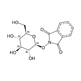 O=C1c2ccccc2C(=O)N1O[C@@H]1O[C@H](CO)[C@@H](O)[C@H](O)[C@H]1O